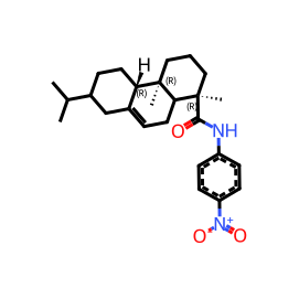 CC(C)C1CC[C@H]2C(=CCC3[C@](C)(C(=O)Nc4ccc([N+](=O)[O-])cc4)CCC[C@@]32C)C1